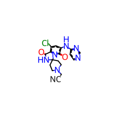 N#CCN1CCC2(CC1)NC(=O)c1c(Cl)cc(Nc3ccncn3)c(=O)n12